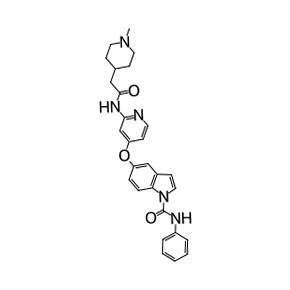 CN1CCC(CC(=O)Nc2cc(Oc3ccc4c(ccn4C(=O)Nc4ccccc4)c3)ccn2)CC1